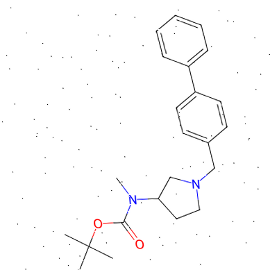 CN(C(=O)OC(C)(C)C)C1CCN(Cc2ccc(-c3ccccc3)cc2)C1